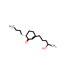 CCCC[C@@H]1CCC(CCCC(C)O)=CC1=O